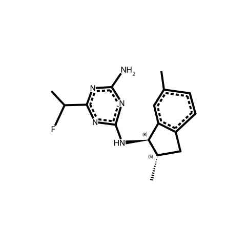 Cc1ccc2c(c1)[C@H](Nc1nc(N)nc(C(C)F)n1)[C@@H](C)C2